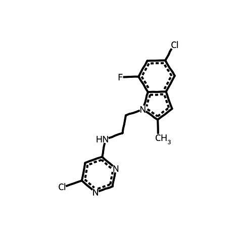 Cc1cc2cc(Cl)cc(F)c2n1CCNc1cc(Cl)ncn1